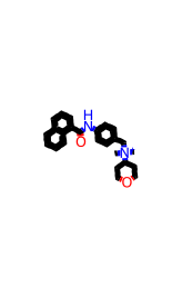 C[N+](C)(Cc1ccc(NC(=O)c2cccc3ccccc23)cc1)C1CCOCC1